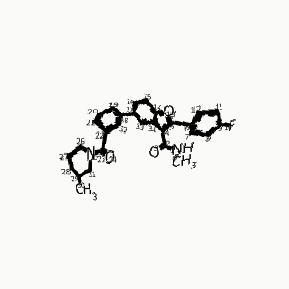 CNC(=O)c1c(-c2ccc(F)cc2)oc2ccc(-c3cccc(C(=O)N4CCCC(C)C4)c3)cc12